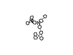 c1ccc(-c2ccc(N(c3ccc(-c4ccc5c(c4)C4(c6ccccc6-5)c5cccc6cccc4c56)cc3)c3ccc4c(c3)c3ccccc3n4-c3ccccc3)cc2)cc1